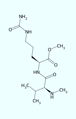 CN[C@H](C(=O)N[C@@H](CCCNC(N)=O)C(=O)OC)C(C)C